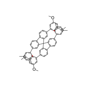 COc1cc(OC)cc(-c2ccc3c(c2)C2(c4cc(-c5cc(C)cc(C)c5)ccc4-3)c3cc(-c4cc(C)cc(C)c4)ccc3-c3ccc(-c4cc(OC)cc(OC)c4)cc32)c1